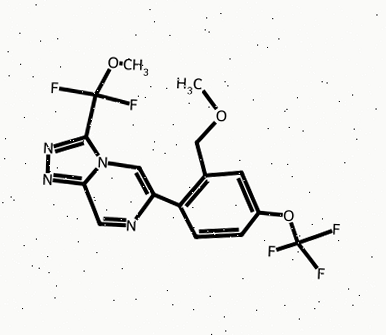 COCc1cc(OC(F)(F)F)ccc1-c1cn2c(C(F)(F)OC)nnc2cn1